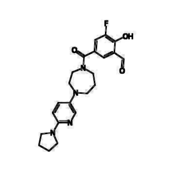 O=Cc1cc(C(=O)N2CCCN(c3ccc(N4CCCC4)nc3)CC2)cc(F)c1O